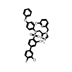 Cc1cccc(Cn2cnnc2CN(c2ccc(Oc3ccccc3)cc2)S(=O)(=O)c2ccc(-c3ccc(F)c(Cl)c3)cc2C)n1